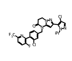 CC(C)n1ncc(Cl)c1-c1cc2n(n1)CCC(=O)N2Cc1ccc(-c2nc(C(F)(F)F)ccc2F)c(Cl)c1